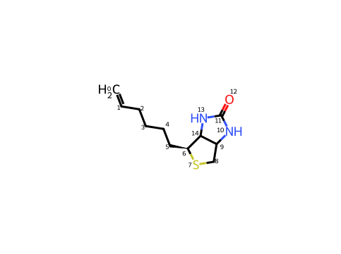 C=CCCCC[C@@H]1SCC2NC(=O)NC21